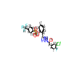 O=C(Cc1ccc(F)c(Cl)c1)N/N=C/c1ccccc1OS(=O)(=O)c1ccc(C(F)(F)F)cc1